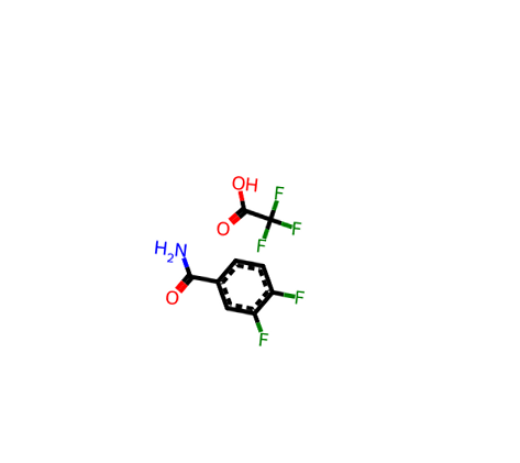 NC(=O)c1ccc(F)c(F)c1.O=C(O)C(F)(F)F